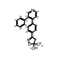 OC1(C(F)(F)F)CC(c2ccc(-c3ccncc3-c3ccccc3)cc2)=NO1